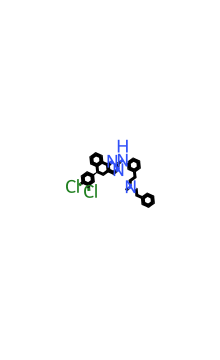 CN(CCc1ccccc1)CCc1cccc(Nc2ncc3c(n2)-c2ccccc2[C@H](c2ccc(Cl)c(Cl)c2)C3)c1